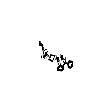 CCCCOC(=O)N1CCN(c2cnc(N=C(c3ccccc3)c3ccccc3)cn2)CC1